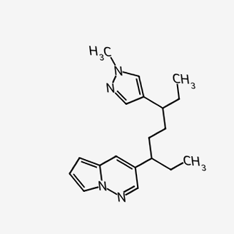 CCC(CCC(CC)c1cnn(C)c1)c1cnn2cccc2c1